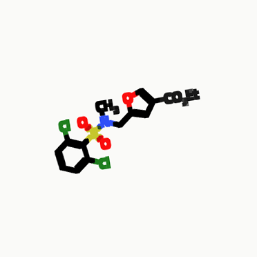 CCOC(=O)c1coc(CN(C)S(=O)(=O)c2c(Cl)cccc2Cl)c1